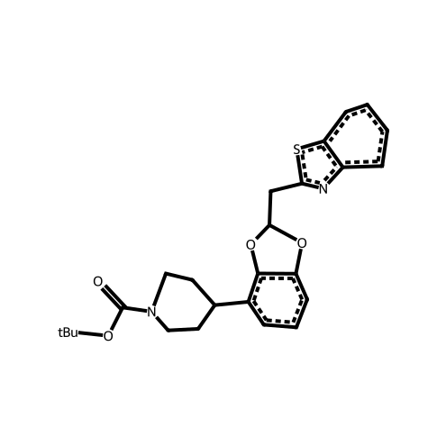 CC(C)(C)OC(=O)N1CCC(c2cccc3c2OC(Cc2nc4ccccc4s2)O3)CC1